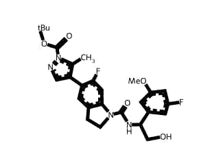 COc1cc(F)cc(C(CO)NC(=O)N2CCc3cc(-c4cnn(C(=O)OC(C)(C)C)c4C)c(F)cc32)c1